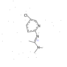 C/C(=N\c1ccc(Cl)cn1)N(C)C